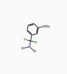 CCN(CC)C(F)(F)c1cccc(OC)c1